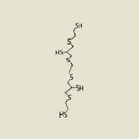 SCCSCC(S)CSCCSCC(S)CSCCS